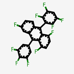 Fc1ccc2c(-c3c(F)c(F)cc(F)c3F)c3c(F)ccc(F)c3c(-c3cc(F)c(F)c(F)c3)c2c1